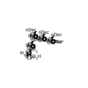 CCCCCCCCCCCCc1ccccc1S(=O)(=O)[O-].CCCCCCCCCCCCc1ccccc1S(=O)(=O)[O-].CCCCCCCCCCCCc1ccccc1S(=O)(=O)[O-].CCCCCCCCCCCCc1ccccc1S(=O)(=O)[O-].NC(=O)CC(C(N)=O)S(=O)(=O)O.[Ca+2].[Na+].[Na+]